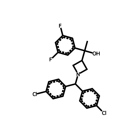 CC(O)(c1cc(F)cc(F)c1)C1CN(C(c2ccc(Cl)cc2)c2ccc(Cl)cc2)C1